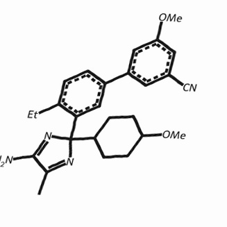 CCc1ccc(-c2cc(C#N)cc(OC)c2)cc1C1(C2CCC(OC)CC2)N=C(C)C(N)=N1